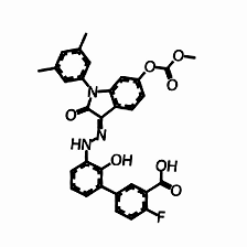 COC(=O)Oc1ccc2c(c1)N(c1cc(C)cc(C)c1)C(=O)C2=NNc1cccc(-c2ccc(F)c(C(=O)O)c2)c1O